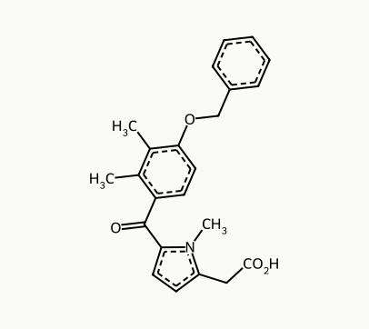 Cc1c(OCc2ccccc2)ccc(C(=O)c2ccc(CC(=O)O)n2C)c1C